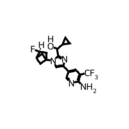 Nc1ncc(-c2cn(C34CC(C3)[C@@H](F)C4)c(C(O)C3CC3)n2)cc1C(F)(F)F